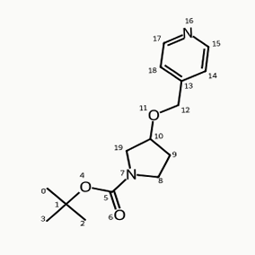 CC(C)(C)OC(=O)N1CCC(OCc2ccncc2)C1